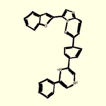 [c]1ccc(C2=CNC=C(c3ccc(-c4ccc5ncc(-c6cc7ccccc7o6)n5n4)cc3)N2)cc1